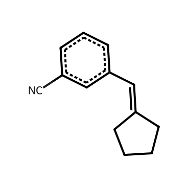 N#Cc1cccc(C=C2CCCC2)c1